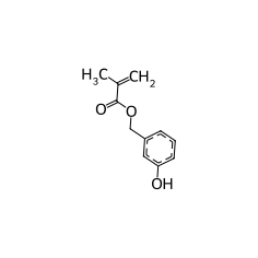 C=C(C)C(=O)OCc1cccc(O)c1